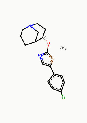 C.Clc1ccc(-c2cnc(O[C@H]3CCN4CCCC3C4)s2)cc1